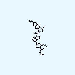 Cc1cn2cc(NC(=O)N3CCc4c(N5CCN(C(=O)OC(C)(C)C)[C@H](C)C5)ccnc43)c(C(F)F)cc2n1